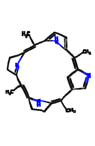 Cc1c2cc(c(C)c3ccc([nH]3)c(C)c3nc(c(C)c4[nH]c1CC4)CC3)N=C2